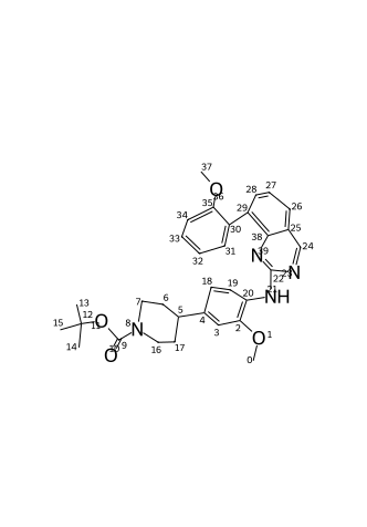 COc1cc(C2CCN(C(=O)OC(C)(C)C)CC2)ccc1Nc1ncc2cccc(-c3ccccc3OC)c2n1